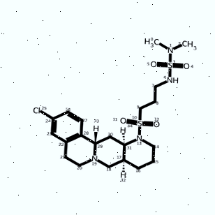 CN(C)S(=O)(=O)NCCCS(=O)(=O)N1CCC[C@H]2CN3CCc4cc(Cl)ccc4[C@@H]3C[C@H]21